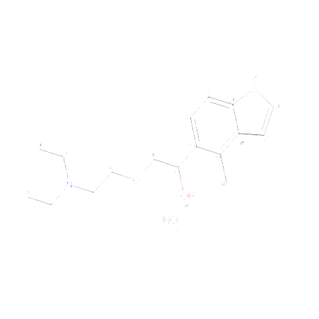 CCN(CC)CCOCC(O)c1ccc2sccc2c1C.Cl